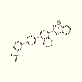 C=C(Oc1ccccc1N)c1ccc(-c2ccc(-c3cccc(C(F)(F)F)c3)cc2)c2ccccc12